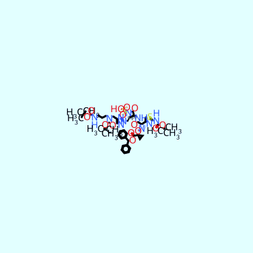 CC(C)(C)OC(=O)NCCCN(Cc1cnn(C[C@@H]2[C@H](NC(=O)/C(=N\OC3(C(=O)OC(c4ccccc4)c4ccccc4)CC3)c3csc(NC(=O)OC(C)(C)C)n3)C(=O)N2S(=O)(=O)O)n1)C(=O)OC(C)(C)C